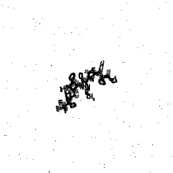 CON=C(C(=O)N[C@@H]1C(=O)N[C@@H]1CNC(=O)C(F)(F)F)c1csc(NC(=O)CCl)n1